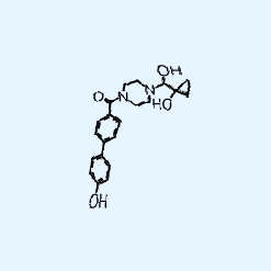 O=C(c1ccc(-c2ccc(O)cc2)cc1)N1CCN(C(O)C2(O)CC2)CC1